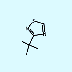 CC(C)(C)c1ncsn1